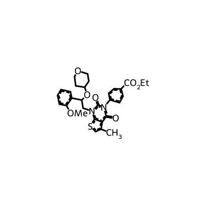 CCOC(=O)c1ccc(-n2c(=O)c3c(C)csc3n(CC(OC3CCOCC3)c3ccccc3OC)c2=O)cc1